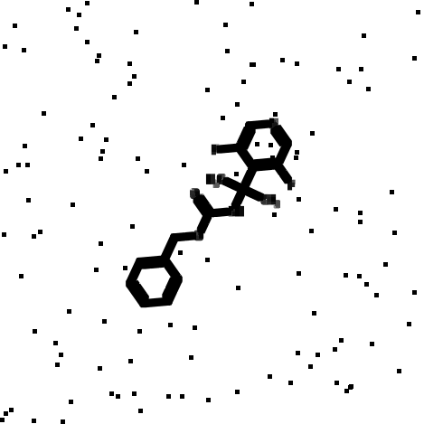 CC(C)(NC(=O)OCc1ccccc1)c1c(F)cncc1F